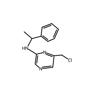 CC(Nc1cncc(CCl)n1)c1ccccc1